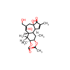 CC(=O)O[C@@H]1[C@@H](C)[C@@]2(O)[C@@H](C=C(CO)C[C@]3(O)C(=O)C(C)=C[C@@H]23)C(C)(C)[C@]1(C)OC=O